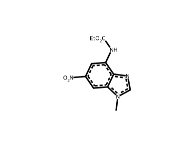 CCOC(=O)Nc1cc([N+](=O)[O-])cc2c1ncn2C